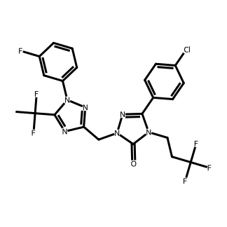 CC(F)(F)c1nc(Cn2nc(-c3ccc(Cl)cc3)n(CCC(F)(F)F)c2=O)nn1-c1cccc(F)c1